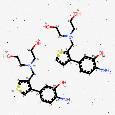 Nc1ccc(-c2ccsc2CN(CCO)CCO)cc1O.Nc1ccc(-c2cscc2CN(CCO)CCO)cc1O